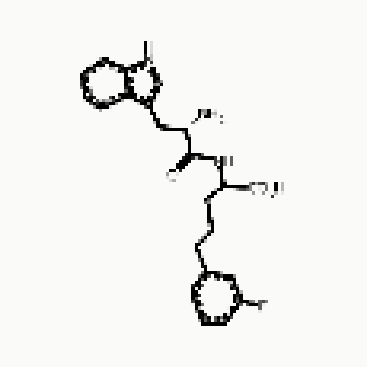 N[C@@H](Cc1c[nH]c2ccccc12)C(=O)NC(CCCc1cccc(F)c1)C(=O)O